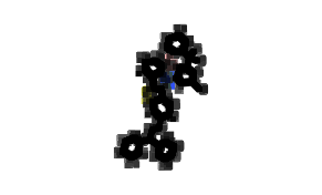 Cc1cc2c3c(c1)C(C)(C)c1ccccc1B3c1cccc3c4sc5cc(CCC(c6ccccc6)c6ccccc6)ccc5c4n-2c13